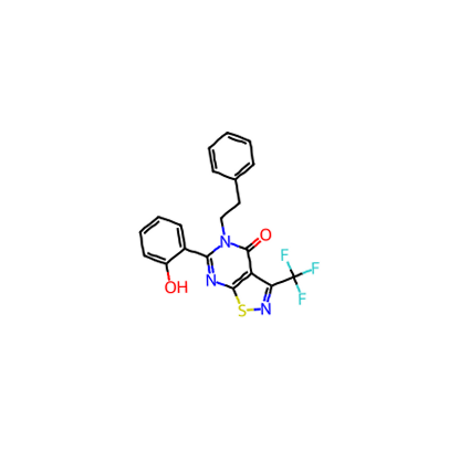 O=c1c2c(C(F)(F)F)nsc2nc(-c2ccccc2O)n1CCc1ccccc1